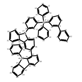 c1ccc(-c2cccc([Si](c3ccccc3)(c3ccccc3)c3cccc(-n4c5ccccc5c5cc(-c6cccc7c8ccccc8n(-c8ccccc8)c67)ccc54)c3)c2)cc1